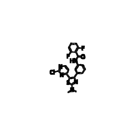 CN(C)c1nc(-c2cccc(NC(=O)c3c(F)cccc3F)c2)c(-c2ccnc(Cl)n2)s1